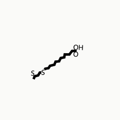 CC(=S)CCSCCCCCCCCCCCC(=O)O